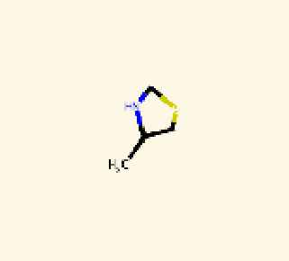 CC1[CH]SCN1